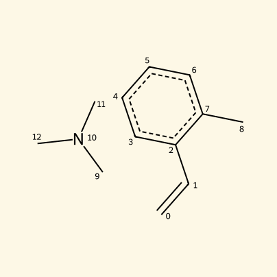 C=Cc1ccccc1C.CN(C)C